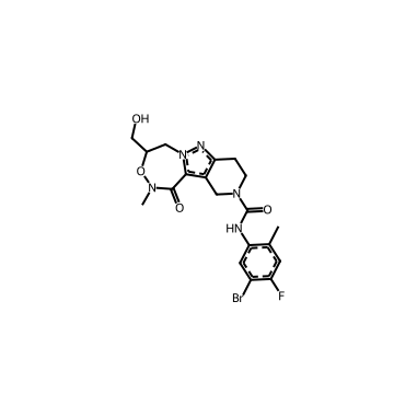 Cc1cc(F)c(Br)cc1NC(=O)N1CCc2nn3c(c2C1)C(=O)N(C)OC(CO)C3